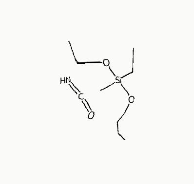 CCO[Si](C)(CC)OCC.N=C=O